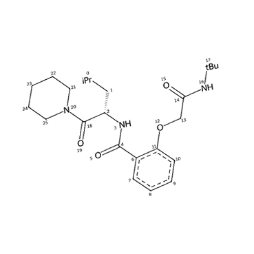 CC(C)C[C@H](NC(=O)c1ccccc1OCC(=O)NC(C)(C)C)C(=O)N1CCCCC1